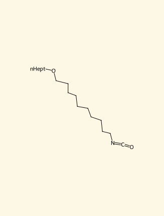 CCCCCCCOCCCCCCCCCCN=C=O